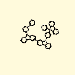 c1ccc(-c2cccc(-n3c4ccccc4c4cc(-c5ccc6c7ccccc7n(-c7ccc(C8(c9ccccc9)c9ccccc9-c9ccccc98)cc7)c6c5)ccc43)c2)cc1